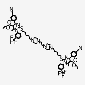 CCOC(=O)C1=C(C)N(c2cccc(C(F)(F)F)c2)C(SCCCCCN2CCN(CCN3CCN(CCCCCSC4=NC(c5ccc(C#N)cc5)C(C(=O)OCC)=C(C)N4c4cccc(C(F)(F)F)c4)CC3)CC2)=NC1c1ccc(C#N)cc1